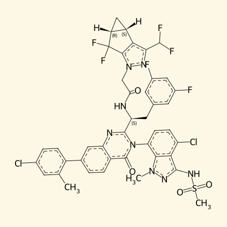 Cc1cc(Cl)ccc1-c1ccc2c(=O)n(-c3ccc(Cl)c4c(NS(C)(=O)=O)nn(C)c34)c([C@H](Cc3cc(F)cc(F)c3)NC(=O)Cn3nc(C(F)F)c4c3C(F)(F)[C@@H]3C[C@H]43)nc2c1